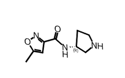 Cc1cc(C(=O)N[C@@H]2CCNC2)no1